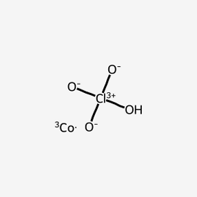 [3Co].[O-][Cl+3]([O-])([O-])O